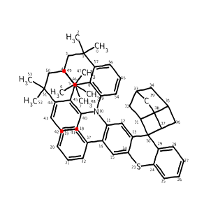 CC1(C)CCC(C)(C)c2c(N(c3cc4c(cc3-c3ccccc3)Sc3ccccc3C43C4CC5CC6CC3C64C5)c3cccc4c3C(C)(C)CCC4(C)C)cccc21